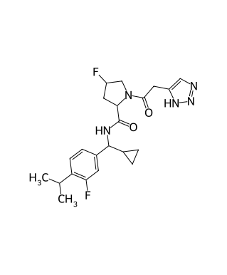 CC(C)c1ccc(C(NC(=O)C2CC(F)CN2C(=O)Cc2cnn[nH]2)C2CC2)cc1F